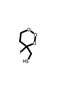 SCC1(I)CCOOO1